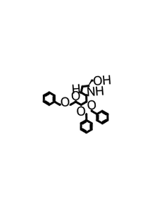 OC[C@@H]1C[C@H]2OC(COCc3ccccc3)[C@@H](OCc3ccccc3)[C@@H](OCc3ccccc3)C2N1